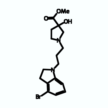 COC(=O)C1(O)CCN(CCCN2CCc3c(Br)cccc32)C1